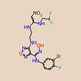 O=[N+]([O-])C=C(NCCNc1nonc1C(=NO)Nc1ccc(F)c(Br)c1)NCC(F)F